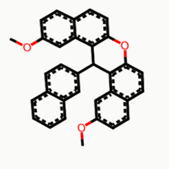 COc1ccc2ccc3c(c2c1)C(c1ccc2ccccc2c1)c1c(ccc2ccc(OC)cc12)O3